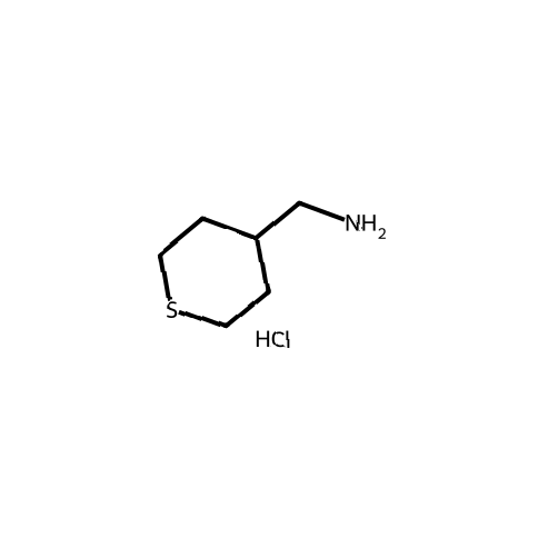 Cl.NCC1CCSCC1